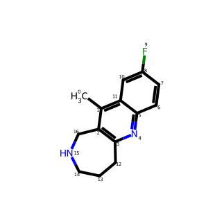 Cc1c2c(nc3ccc(F)cc13)CCCNC2